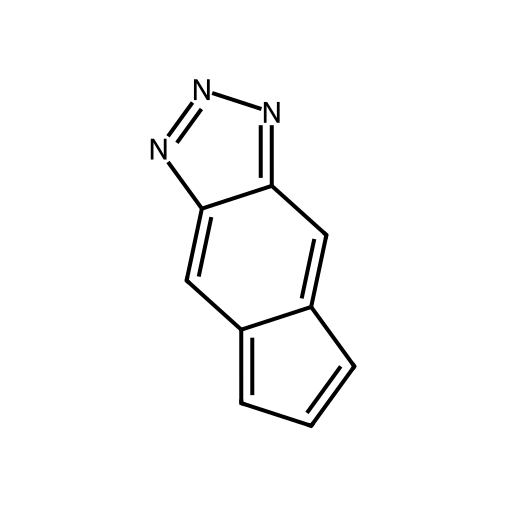 C1=Cc2cc3c(cc2=C1)N=NN=3